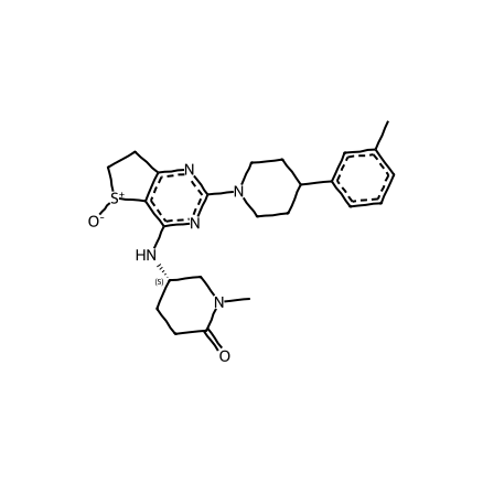 Cc1cccc(C2CCN(c3nc4c(c(N[C@H]5CCC(=O)N(C)C5)n3)[S+]([O-])CC4)CC2)c1